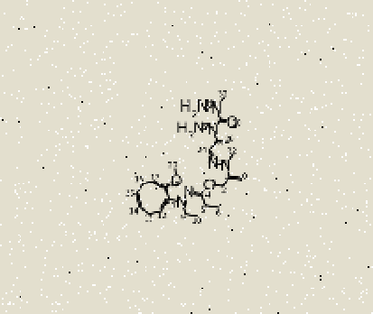 C=C(CO/C(CC)=N/N(CC)C1=CCC=CC/C=C\1OC)N(C)/N=C\C(C)N(N)C(=O)N(C)N